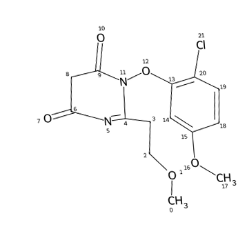 COCCC1=NC(=O)CC(=O)N1Oc1cc(OC)ccc1Cl